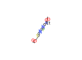 C=CC(=O)OCCN(CC)c1ccc(/N=N/c2ccc(/N=N/c3ccc4sc(CCCCOC(=O)C(=C)C)cc4c3)cc2F)cc1